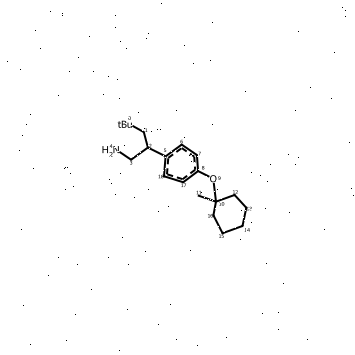 CC(C)(C)CC(CN)c1ccc(OC2(C)CCCCC2)cc1